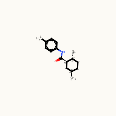 Cc1ccc(NC(=O)[C@@H]2C[C@H](C)CC[C@H]2C(C)C)cc1